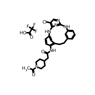 CC(=O)N1CCC(CC(=O)Nc2ccc3cc2CCc2cccc(c2)Nc2ncc(Cl)c(n2)N3)CC1.O=C(O)C(F)(F)F